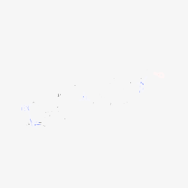 O=C1CCC(c2ccc(CN3CCc4cc(-c5cn[nH]c5)ccc43)cc2)N1